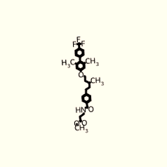 COC(=O)CCNC(=O)c1ccc(CCC(C)CCOc2cc(C)c(-c3ccc(C(F)(F)F)cc3)c(C)c2)cc1